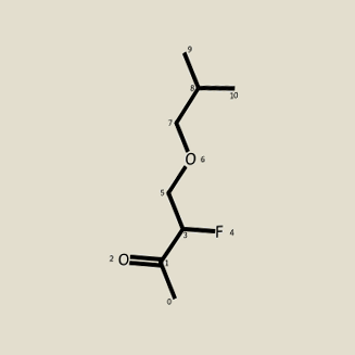 CC(=O)C(F)COCC(C)C